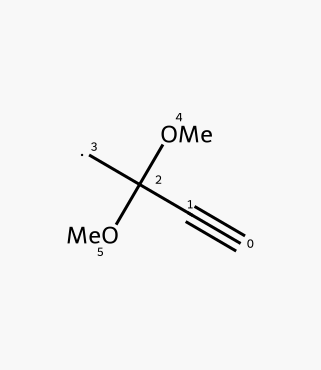 C#CC([CH2])(OC)OC